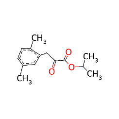 Cc1ccc(C)c(CC(=O)C(=O)OC(C)C)c1